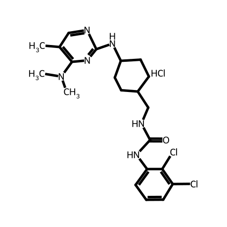 Cc1cnc(NC2CCC(CNC(=O)Nc3cccc(Cl)c3Cl)CC2)nc1N(C)C.Cl